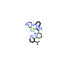 CC(C)c1cccnc1[C@@H]1CCC[C@H](c2nc3cccc(N4CCN(C)CC4)n3c2Cl)N1C